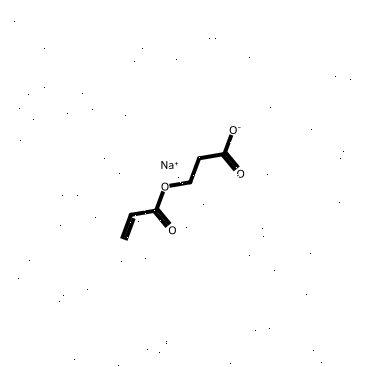 C=CC(=O)OCCC(=O)[O-].[Na+]